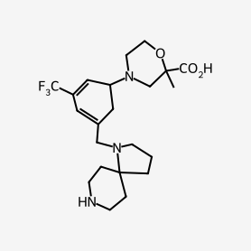 CC1(C(=O)O)CN(C2C=C(C(F)(F)F)C=C(CN3CCCC34CCNCC4)C2)CCO1